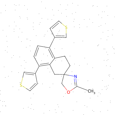 CC1=NC2(CCc3c(-c4ccsc4)ccc(-c4ccsc4)c3C2)CO1